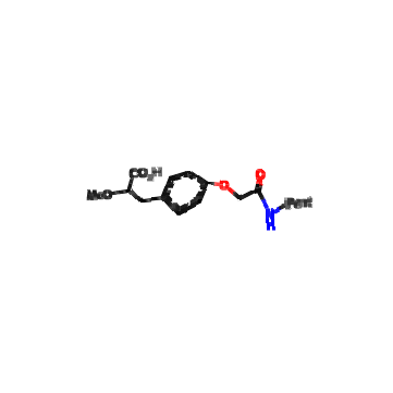 CCCC(C)NC(=O)COc1ccc(CC(OC)C(=O)O)cc1